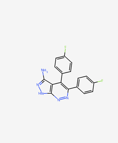 Nc1n[nH]c2nnc(-c3ccc(F)cc3)c(-c3ccc(F)cc3)c12